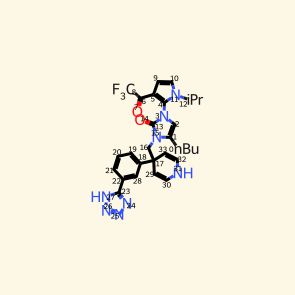 CCCCc1cn(-c2c(C(=O)C(F)(F)F)ccn2C(C)C)c(=O)n1CC1(c2cccc(-c3nnn[nH]3)c2)C=CNC=C1